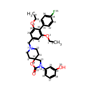 CCOc1cc(CN2CCC3(CC2)CN(c2cccc(O)c2)C(=O)O3)cc(OCC)c1-c1ccc(F)cc1